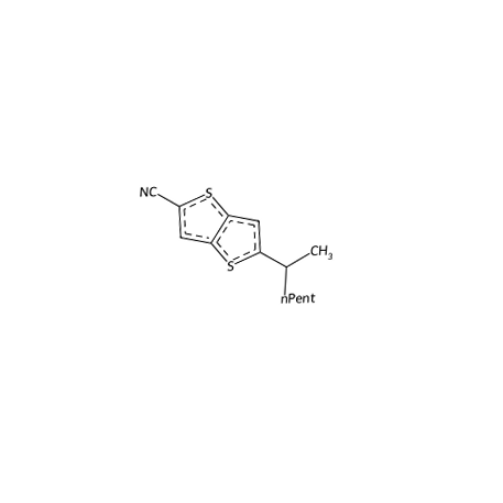 CC[CH]CCC(C)c1cc2sc(C#N)cc2s1